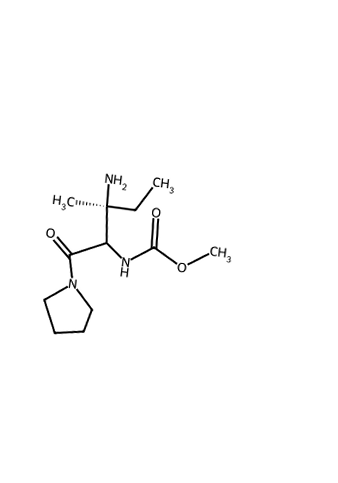 CC[C@](C)(N)C(NC(=O)OC)C(=O)N1CCCC1